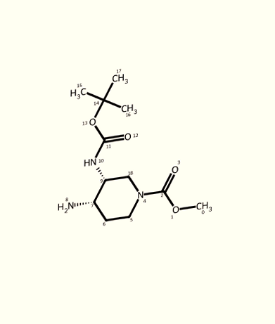 COC(=O)N1CC[C@H](N)[C@H](NC(=O)OC(C)(C)C)C1